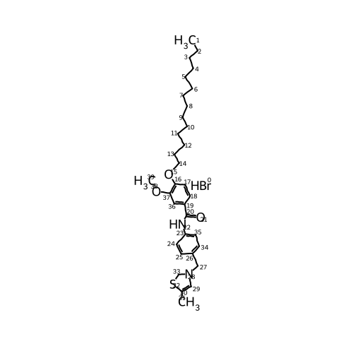 Br.CCCCCCCCCCCCCCOc1ccc(C(=O)Nc2ccc(CN3C=C(C)SC3)cc2)cc1OC